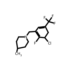 CC1CCN(CC2=C(F)C(Cl)CC(C(F)(F)F)=C2)CC1